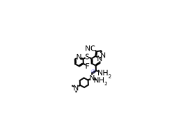 CN(C)C1CCC(N(N)/C=C(\N)c2cc(Sc3ncccc3F)c3c(C#N)cnn3c2)CC1